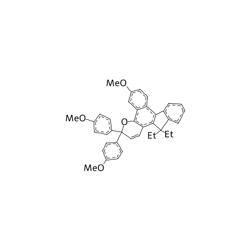 CCC1(CC)c2ccccc2-c2c1c1c(c3cc(OC)ccc23)OC(c2ccc(OC)cc2)(c2ccc(OC)cc2)C=C1